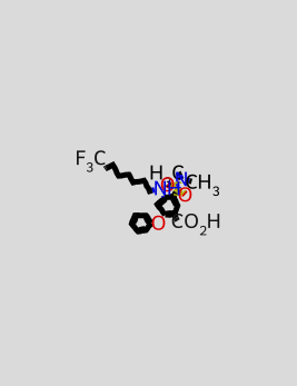 CN(C)S(=O)(=O)c1cc(C(=O)O)c(Oc2ccccc2)cc1NCCCCCCCC(F)(F)F